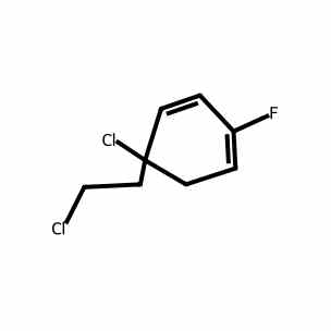 FC1=CCC(Cl)(CCCl)C=C1